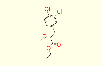 CCOC(=O)C(Cc1ccc(O)c(Cl)c1)OC